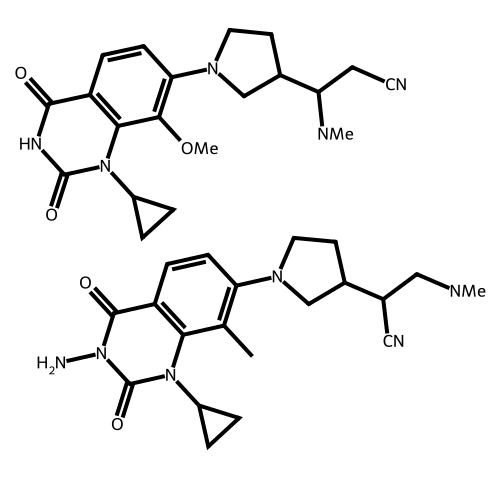 CNC(CC#N)C1CCN(c2ccc3c(=O)[nH]c(=O)n(C4CC4)c3c2OC)C1.CNCC(C#N)C1CCN(c2ccc3c(=O)n(N)c(=O)n(C4CC4)c3c2C)C1